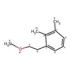 Cc1cccc(CCO[SiH3])c1C